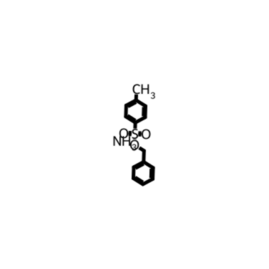 Cc1ccc(S(=O)(=O)OCc2ccccc2)cc1.N